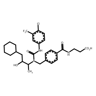 CC(C(O)CC1CCCCC1)N(Cc1ccc(C(=O)NCCC(=O)O)cc1)C(=O)Nc1ccc(Cl)c(C(F)(F)F)c1